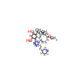 C=C1/C=C\C(n2c(SCc3cccnc3)nnc2-c2cc(C(C)C)c(O)cc2O)=C/CCC(OC)C1